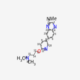 CNc1cnc2ccc(-c3ccc(OCCCN(C)C)nc3)cc2n1